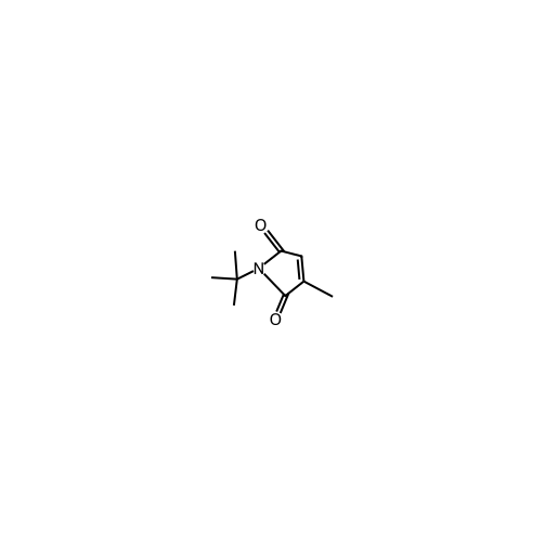 CC1=CC(=O)N(C(C)(C)C)C1=O